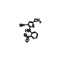 Cc1cc(C#N)c(Nc2ccccc2[N+](=O)[O-])s1